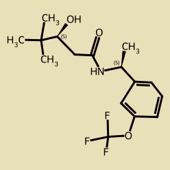 C[C@H](NC(=O)C[C@H](O)C(C)(C)C)c1cccc(OC(F)(F)F)c1